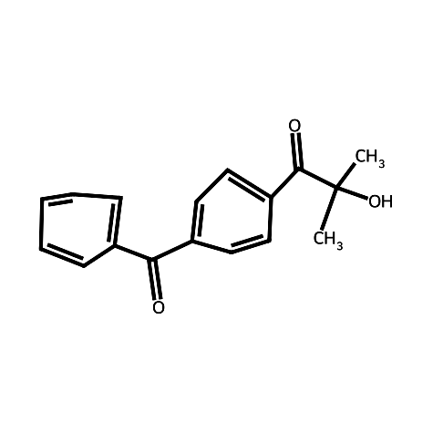 CC(C)(O)C(=O)c1ccc(C(=O)c2ccccc2)cc1